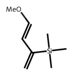 C=C(C=COC)[Si](C)(C)C